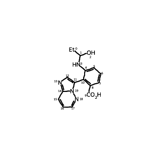 CCC(O)Nc1cccc(C(=O)O)c1-c1cnc2cccnn12